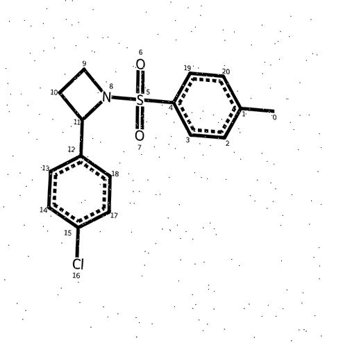 Cc1ccc(S(=O)(=O)N2CCC2c2ccc(Cl)cc2)cc1